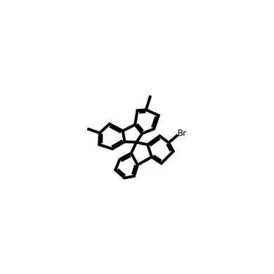 Cc1ccc2c(c1)-c1cc(C)ccc1C21c2ccccc2-c2ccc(Br)cc21